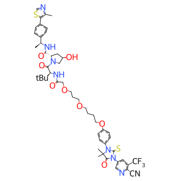 Cc1ncsc1-c1ccc([C@H](C)NC(=O)[C@@H]2C[C@@H](O)CN2C(=O)[C@@H](NC(=O)COCCCOCCCCOc2ccc(N3C(=S)N(c4cnc(C#N)c(C(F)(F)F)c4)C(=O)C3(C)C)cc2)C(C)(C)C)cc1